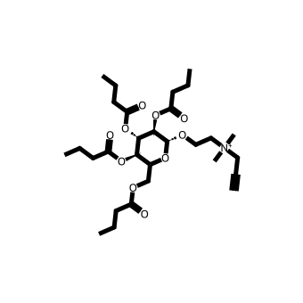 C#CC[N+](C)(C)CCO[C@@H]1OC(COC(=O)CCC)[C@@H](OC(=O)CCC)[C@H](OC(=O)CCC)[C@H]1OC(=O)CCC